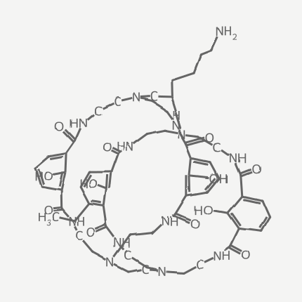 CCc1ccc2c(O)c1C(=O)NCCN1CCNC(=O)c3cccc(c3O)C(=O)NCCN(CCNC2=O)C(CCCCN)CN2CCNC(=O)c3cccc(c3O)C(=O)NCCN(CCNC(=O)c3cccc(c3O)C(=O)NCC2)CC1